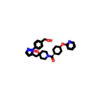 O=C([C@H]1CC[C@H](Oc2ccccn2)CC1)N1CCC(O)(Cc2ccnn2-c2ccc(CO)cc2)CC1